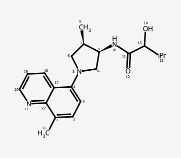 Cc1ccc(N2C[C@@H](C)[C@@H](NC(=O)C(O)C(C)C)C2)c2cccnc12